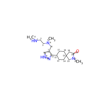 CNCCN(C)Cc1c[nH]nc1C1CCC2(CC1)CC(=O)N(C)C2